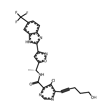 C[C@@H](NC(=O)c1ncnc(C#CCCCO)c1Cl)c1cc(-c2nc3ccc(C(F)(F)F)cc3[nH]2)no1